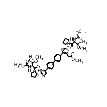 COC(=O)Cc1[nH]c([C@@H]2CCCN2C(=O)[C@@H](NC(=O)OC)[C@@H](C)OC)nc1-c1ccc(-c2ccc(-c3cnc([C@@H]4CCCN4C(=O)[C@@H](NC(=O)OC)[C@@H](C)OC)[nH]3)cc2)cc1